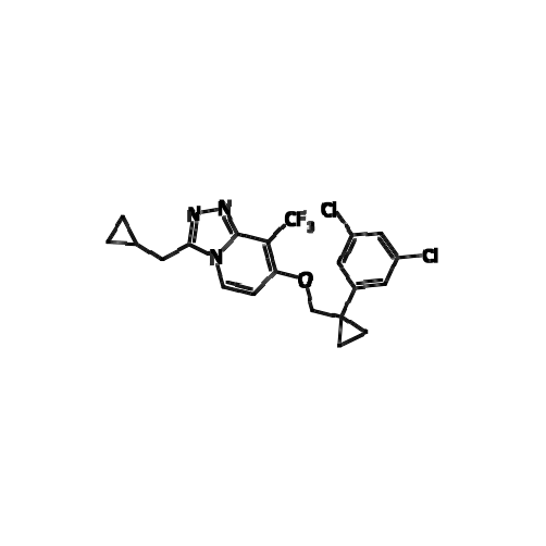 FC(F)(F)c1c(OCC2(c3cc(Cl)cc(Cl)c3)CC2)ccn2c(CC3CC3)nnc12